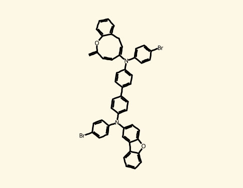 C=C1/C=C\C(N(c2ccc(Br)cc2)c2ccc(-c3ccc(N(c4ccc(Br)cc4)c4ccc5oc6ccccc6c5c4)cc3)cc2)=C/Cc2ccccc2O1